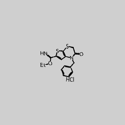 CCOC(=N)c1cc2c(s1)SCC(=O)N2Cc1ccccc1.Cl